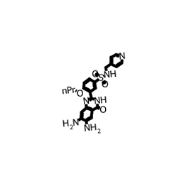 CCCOc1ccc(S(=O)(=O)NCc2ccncc2)cc1-c1nc2cc(N)c(N)cc2c(=O)[nH]1